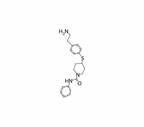 NCCc1ccc(SC2CCN(C(=O)Nc3ccccc3)CC2)cc1